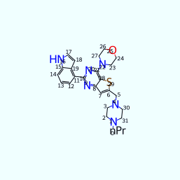 CCCN1CCN(Cc2cc3nc(-c4cccc5[nH]ccc45)nc(N4CCOCC4)c3s2)CC1